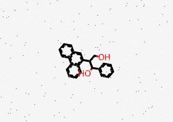 OCC(c1cc2ccccc2c2ccccc12)C(O)c1ccccc1